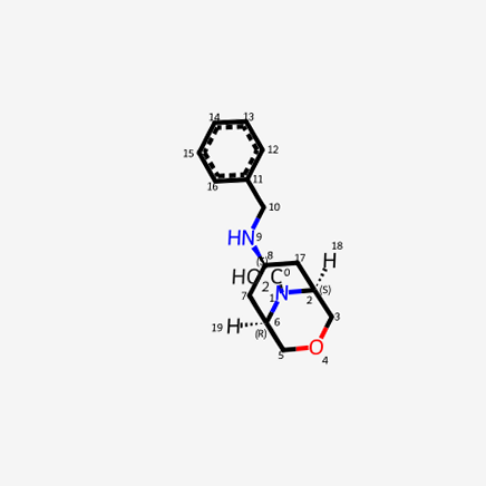 O=C(O)N1[C@@H]2COC[C@H]1C[C@@H](NCc1ccccc1)C2